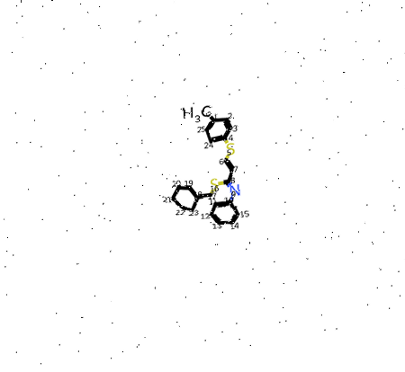 Cc1ccc(SC=CC(=Nc2ccccc2)SCC2CCCCC2)cc1